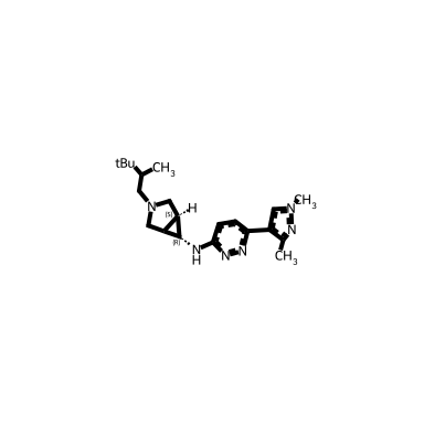 Cc1nn(C)cc1-c1ccc(N[C@@H]2C3CN(CC(C)C(C)(C)C)C[C@H]32)nn1